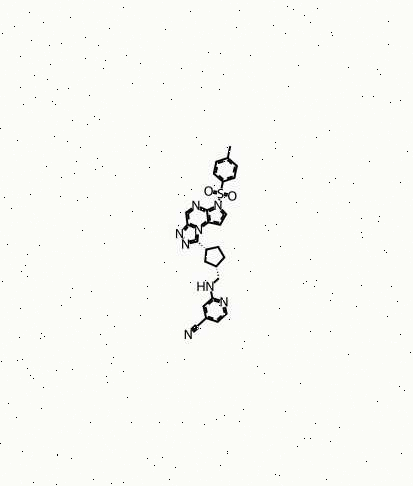 Cc1ccc(S(=O)(=O)n2ccc3c2ncc2nnc([C@@H]4CC[C@H](CNc5cc(C#N)ccn5)C4)n23)cc1